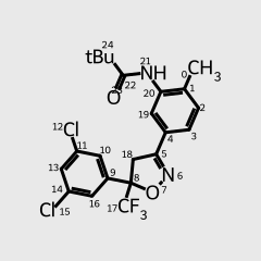 Cc1ccc(C2=NOC(c3cc(Cl)cc(Cl)c3)(C(F)(F)F)C2)cc1NC(=O)C(C)(C)C